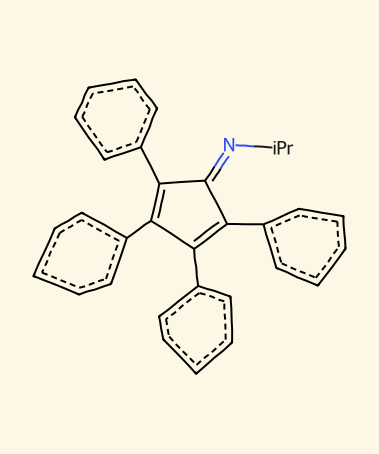 CC(C)N=C1C(c2ccccc2)=C(c2ccccc2)C(c2ccccc2)=C1c1ccccc1